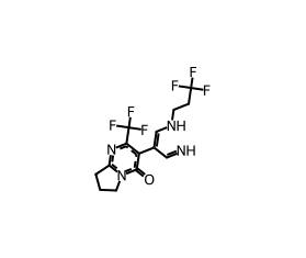 N=C/C(=C\NCCC(F)(F)F)c1c(C(F)(F)F)nc2n(c1=O)CCC2